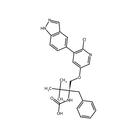 CC(C)(C)[C@](COc1cnc(Cl)c(-c2ccc3[nH]ncc3c2)c1)(Cc1ccccc1)NC(=O)O